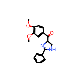 COc1ccc(C(=O)C2CNC(c3ccccc3)=N2)cc1OC